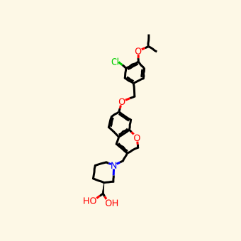 CC(C)Oc1ccc(COc2ccc3c(c2)OCC(CN2CCC[C@H](C(O)O)C2)=C3)cc1Cl